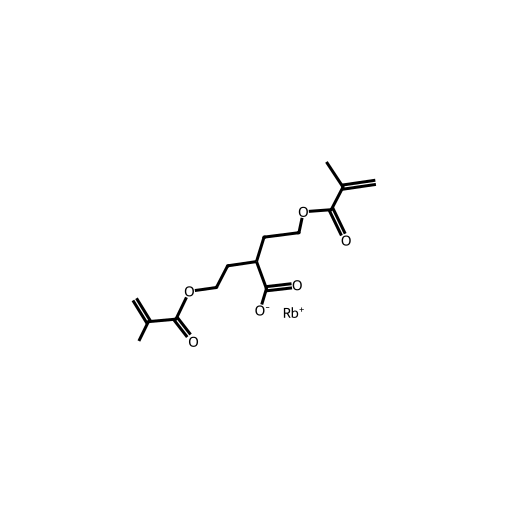 C=C(C)C(=O)OCCC(CCOC(=O)C(=C)C)C(=O)[O-].[Rb+]